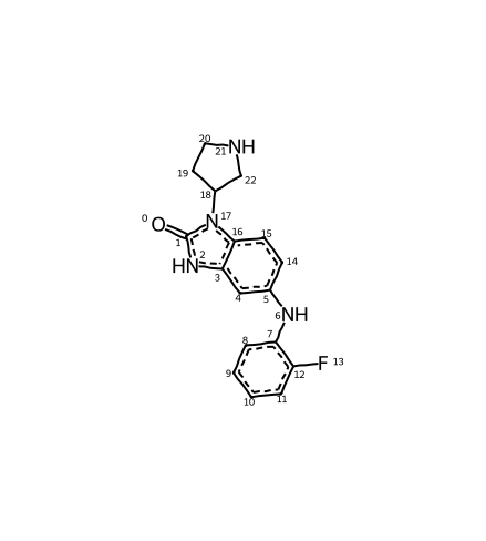 O=c1[nH]c2cc(Nc3ccccc3F)ccc2n1C1CCNC1